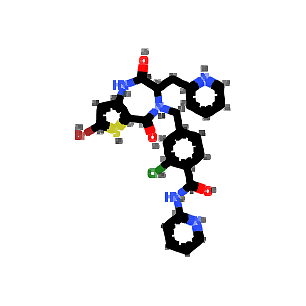 O=C(Nc1ccccn1)c1ccc(CN2C(=O)c3sc(Br)cc3NC(=O)C2Cc2ccccn2)cc1Cl